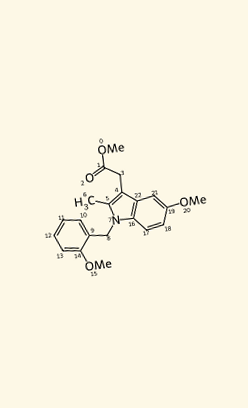 COC(=O)Cc1c(C)n(Cc2ccccc2OC)c2ccc(OC)cc12